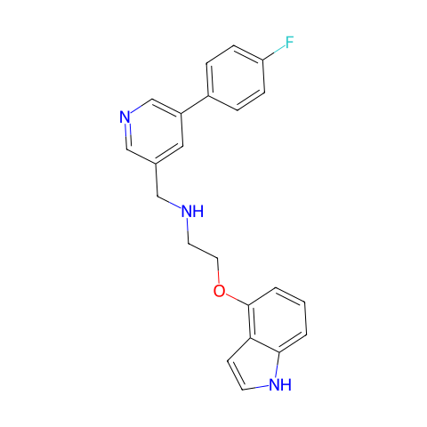 Fc1ccc(-c2cncc(CNCCOc3cccc4[nH]ccc34)c2)cc1